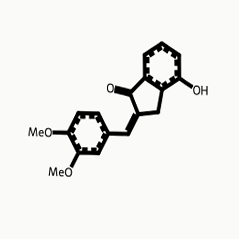 COc1ccc(C=C2Cc3c(O)cccc3C2=O)cc1OC